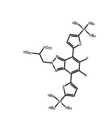 CCCCCCCCCCC(CCCCCCCC)Cn1nc2c(-c3cc[c]([Sn]([CH2]CCC)([CH2]CCC)[CH2]CCC)s3)c(F)c(F)c(-c3cc[c]([Sn]([CH2]CCC)([CH2]CCC)[CH2]CCC)s3)c2n1